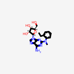 CCc1ccccc1N(C)c1nc(N)c2ncn([C@@H]3O[C@H](CO)[C@@H](O)[C@H]3O)c2n1